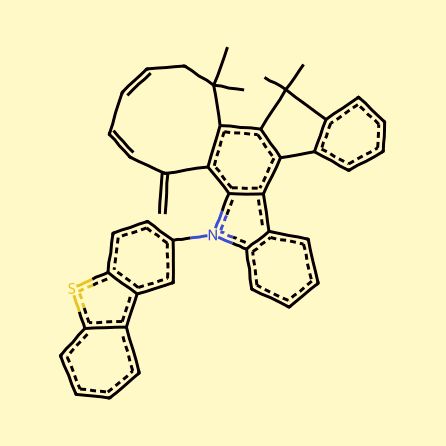 C=C1/C=C\C=C/CC(C)(C)c2c3c(c4c5ccccc5n(-c5ccc6sc7ccccc7c6c5)c4c21)-c1ccccc1C3(C)C